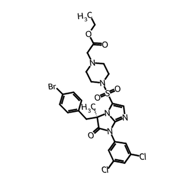 CCOC(=O)CN1CCN(S(=O)(=O)c2cnc3n2[C@](C)(Cc2ccc(Br)cc2)C(=O)N3c2cc(Cl)cc(Cl)c2)CC1